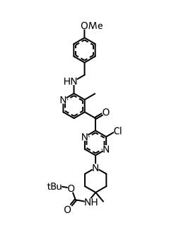 COc1ccc(CNc2nccc(C(=O)c3ncc(N4CCC(C)(NC(=O)OC(C)(C)C)CC4)nc3Cl)c2C)cc1